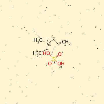 C=CC[C@@H](C)CC.O=S(=O)(O)O